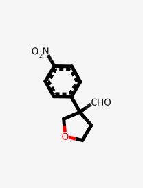 O=CC1(c2ccc([N+](=O)[O-])cc2)CCOC1